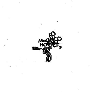 COC(=O)N[C@H](C(=O)N[C@H](c1ccc([C@@H](CO)N(CCC(C)(C)C)S(=O)(=O)c2ccn3ccnc3c2)s1)C(F)(F)F)C(c1ccccc1)c1ccccc1